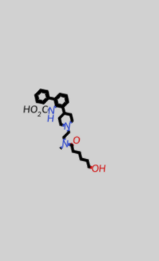 CN(CCN1CCC(c2cccc(-c3ccccc3)c2NC(=O)O)CC1)C(=O)CCCCCO